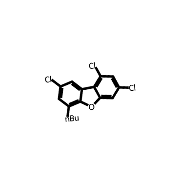 CCCCc1cc(Cl)cc2c1oc1cc(Cl)cc(Cl)c12